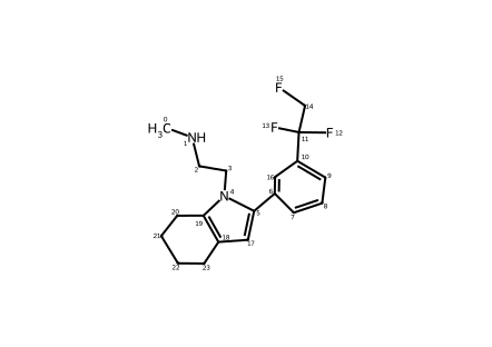 CNCCn1c(-c2cccc(C(F)(F)CF)c2)cc2c1CCCC2